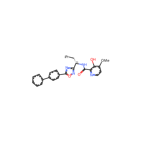 COc1ccnc(C(=O)N[C@@H](CC(C)C)c2noc(-c3ccc(-c4ccccc4)cc3)n2)c1O